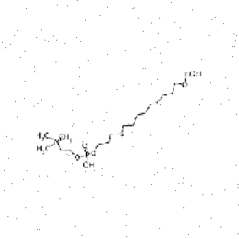 CCCCCCCCOCCCCCCCCCSCCCOP(=O)(O)OCC[N+](C)(C)C